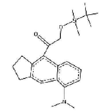 CN(C)c1cccc2c(C(=O)CO[Si](C)(C)C(C)(C)C)c3c(cc12)CCC3